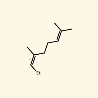 [CH2]C/C=C(/C)CCC=C(C)C